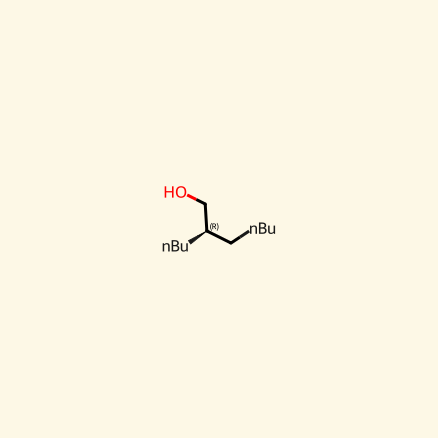 CCCCC[C@H](CO)CCCC